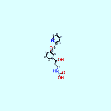 O=C(O)NCCC(O)c1cccc(OCc2ccccn2)c1